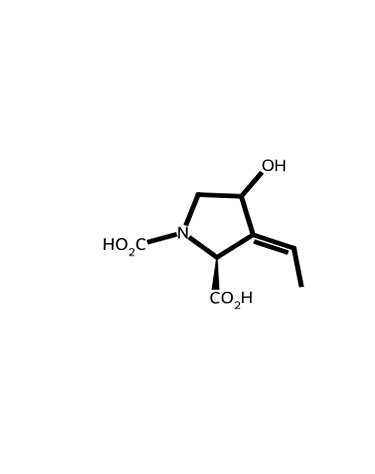 C/C=C1/C(O)CN(C(=O)O)[C@@H]1C(=O)O